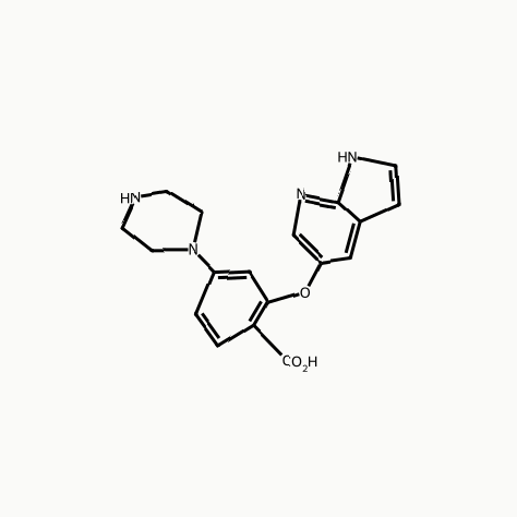 O=C(O)c1ccc(N2CCNCC2)cc1Oc1cnc2[nH]ccc2c1